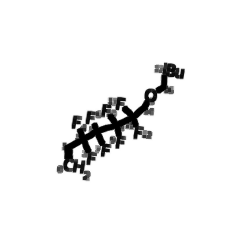 C=CC(F)(F)C(F)(F)C(F)(F)C(F)(F)COCC(C)CC